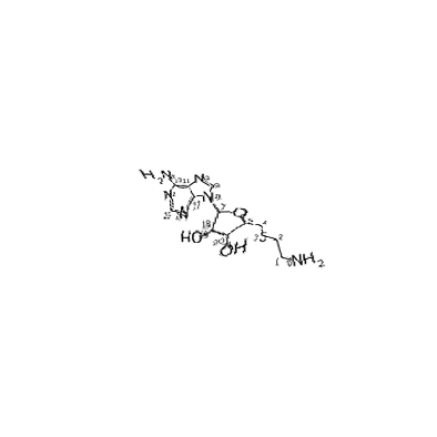 NCCSCC1OC(n2cnc3c(N)ncnc32)C(O)C1O